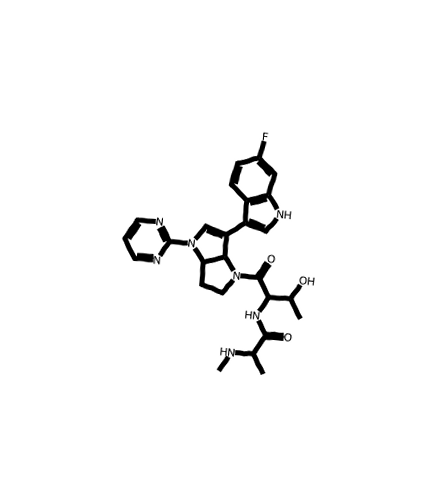 CNC(C)C(=O)NC(C(=O)N1CCC2C1C(c1c[nH]c3cc(F)ccc13)=CN2c1ncccn1)C(C)O